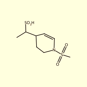 CC(C1C=CN(S(C)(=O)=O)CC1)S(=O)(=O)O